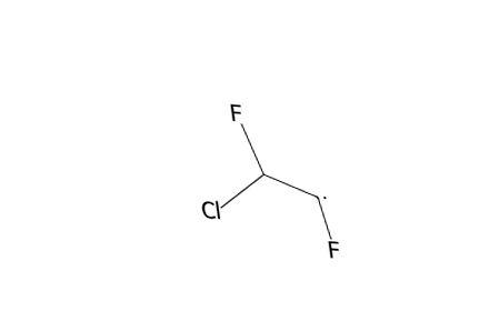 F[CH]C(F)Cl